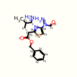 CC(CN)C[C@@H](C(=O)OCc1ccccc1)c1nc(N(N)C=O)cs1